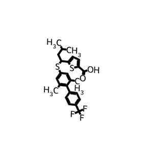 Cc1cc(SC(CC(C)C)c2ccc(C(=O)O)s2)cc(C)c1-c1ccc(C(F)(F)F)cc1